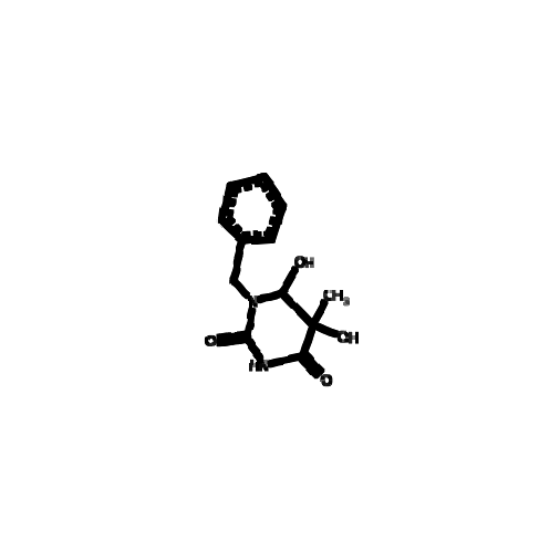 CC1(O)C(=O)NC(=O)N(Cc2ccccc2)C1O